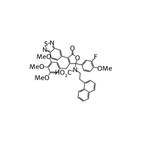 COc1ccc(C2(N(CCc3cccc4ccccc34)C(=O)O)OC(=O)C(c3ccc4nsnc4c3)=C2Cc2cc(OC)c(OC)c(OC)c2)cc1F